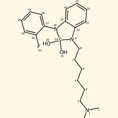 CN(C)CCCCCCN1c2ccccc2N(c2ccccc2F)S1(O)O